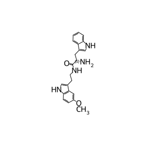 COc1ccc2[nH]cc(CCNC(=O)[C@@H](N)Cc3c[nH]c4ccccc34)c2c1